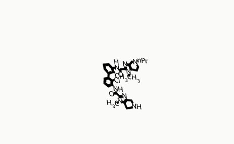 CCCN1CCc2c(nc(C(=O)Nc3cccc(-c4cccc(NC(=O)c5nc6c(n5C)CCNC6)c4Cl)c3C)n2C)C1